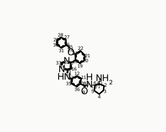 N[C@H]1CCCC[C@@H]1NC(=O)c1ccc(Nc2cc(-c3ccccc3OCc3ccccc3)ncn2)cc1